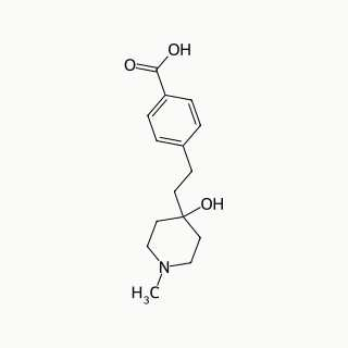 CN1CCC(O)(CCc2ccc(C(=O)O)cc2)CC1